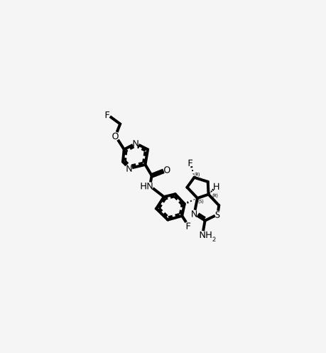 NC1=N[C@@]2(c3cc(NC(=O)c4cnc(OCF)cn4)ccc3F)C[C@H](F)C[C@H]2CS1